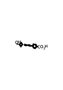 O=C(O)c1ccc(C#CC#C[C@H]2C[C@H](CO)C2)cc1